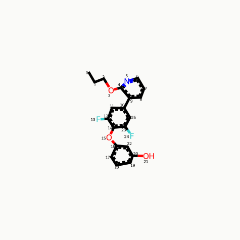 CCCOc1ncccc1-c1cc(F)c(Oc2cccc(O)c2)c(F)c1